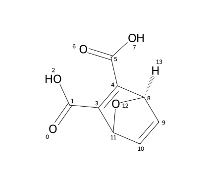 O=C(O)C1=C(C(=O)O)[C@H]2C=CC1O2